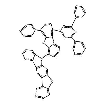 c1ccc(-c2nc(-c3ccccc3)nc(-c3ccc(-c4ccccc4)c4sc5c(-n6c7ccccc7c7cc8c(cc76)oc6ccccc68)cccc5c34)n2)cc1